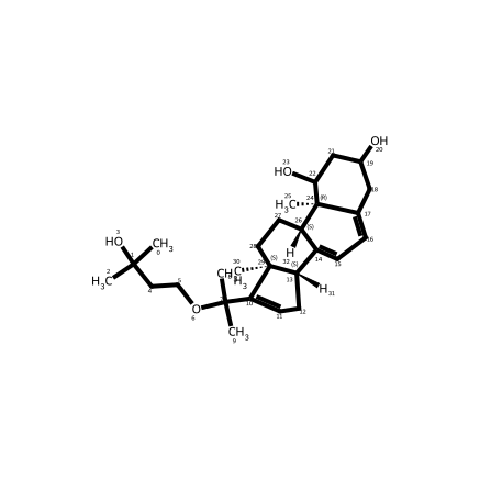 CC(C)(O)CCOC(C)(C)C1=CC[C@H]2C3=CC=C4CC(O)CC(O)[C@]4(C)[C@H]3CC[C@]12C